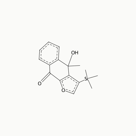 CC1(O)c2ccccc2C(=O)c2occ([Si](C)(C)C)c21